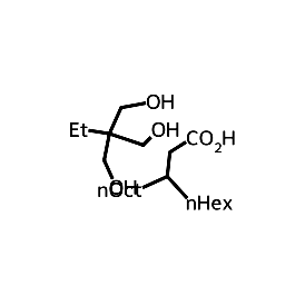 CCC(CO)(CO)CO.CCCCCCCCC(CCCCCC)CC(=O)O